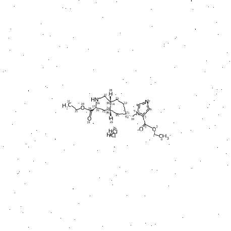 CCOC(=O)c1cncn1C[C@H]1CC[C@H]2CN[C@H](C(=O)OCC)C[C@H]2C1.Cl.Cl